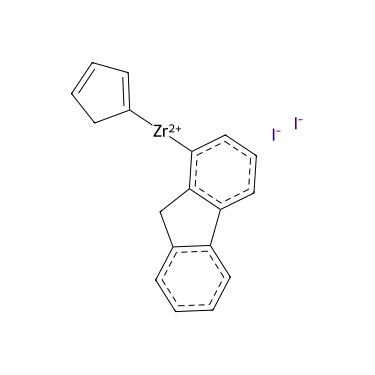 C1=CC[C]([Zr+2][c]2cccc3c2Cc2ccccc2-3)=C1.[I-].[I-]